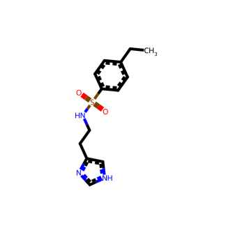 CCc1ccc(S(=O)(=O)NCCc2c[nH]cn2)cc1